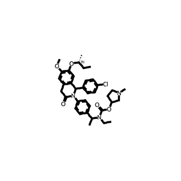 CC[C@@H](C)Oc1cc2c(cc1OC)CC(=O)N(c1ccc(C(C)N(CC)C(=O)OC3CCN(C)C3)cc1)C2c1ccc(Cl)cc1